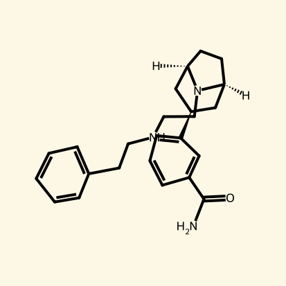 NC(=O)c1cccc([C@H]2C[C@H]3CC[C@@H](C2)N3CCNCCc2ccccc2)c1